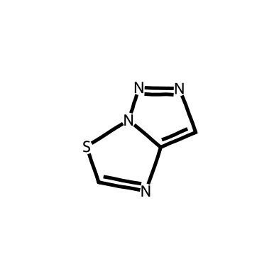 c1nc2cnnn2s1